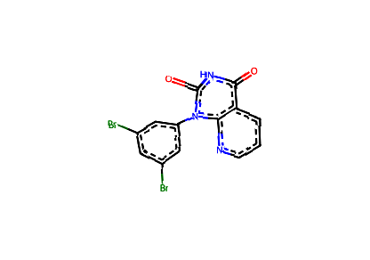 O=c1[nH]c(=O)n(-c2cc(Br)cc(Br)c2)c2ncccc12